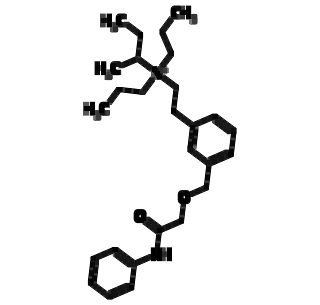 CCC[N+](CCC)(CCc1cccc(COCC(=O)Nc2ccccc2)c1)C(C)CC